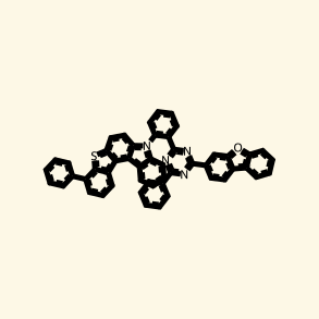 c1ccc(-c2nc(-c3ccc4c(c3)oc3ccccc34)nc(-c3ccccc3-n3c4ccccc4c4c5c(ccc43)sc3c(-c4ccccc4)cccc35)n2)cc1